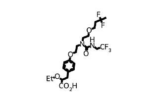 CCOC(Cc1ccc(OCCN(CCOCCC(C)(F)F)C(=O)NCC(F)(F)F)cc1)C(=O)O